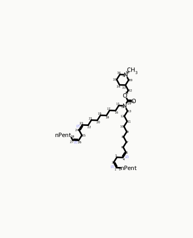 CCCCC/C=C\C/C=C\CCCCCCCCN(CCCCCCCC/C=C\C/C=C\CCCCC)C(=O)OCC1CCCN(C)C1